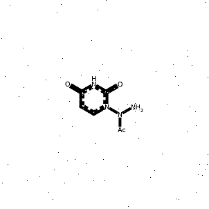 CC(=O)N(N)n1ccc(=O)[nH]c1=O